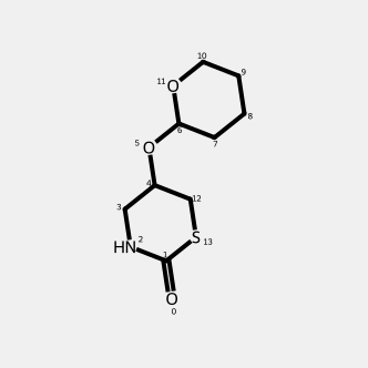 O=C1NCC(OC2CCCCO2)CS1